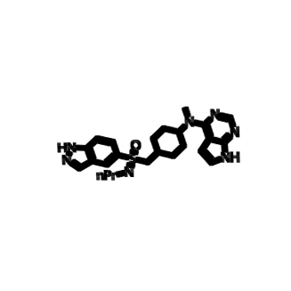 CCCN=S(=O)(CC1CCC(N(C)c2ncnc3[nH]ccc23)CC1)c1ccc2[nH]ncc2c1